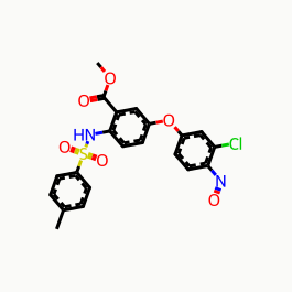 COC(=O)c1cc(Oc2ccc(N=O)c(Cl)c2)ccc1NS(=O)(=O)c1ccc(C)cc1